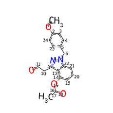 COc1ccc(Cn2nc(CC=O)c3c(OC(C)=O)cccc32)cc1